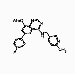 COc1cc(-c2ccc(F)cc2)cc2c(NCc3ccc(C)nc3)ncnc12